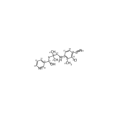 Cc1c(NCC(C)(C)CC(O)c2cccnc2)ccc(C#N)c1Cl